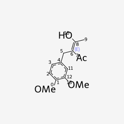 COc1ccc(C/C(C(C)=O)=C(/C)O)cc1OC